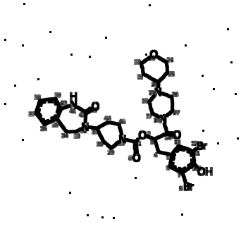 O=C(OC(Cc1cc(Br)c(O)c(Br)c1)C(=O)N1CCN(C2CCOCC2)CC1)N1CCC(N2CCc3ccccc3NC2=O)CC1